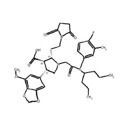 CCCC(CCC)N(C(=O)CN1C[C@H](c2cc(OC)c3c(c2)OCO3)[C@@H](C(=O)O)[C@@H]1CCN1C(=O)CCC1=O)c1ccc(F)c(C)c1